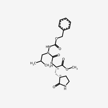 COC(=O)[C@H](C[C@@H]1CCNC1=O)NC(=O)N(CC(C)C)NC(=O)OCc1ccccc1